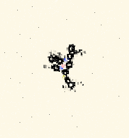 CC(C)(C)c1ccc(N2B3c4cc5c(cc4-n4c6cc7c(cc6c6ccc(c3c64)-c3cc4c(cc32)sc2cc3c(cc24)C(C)(C)CCC3(C)C)C(C)(C)c2ccccc2-7)C(C)(C)c2ccccc2-5)cc1